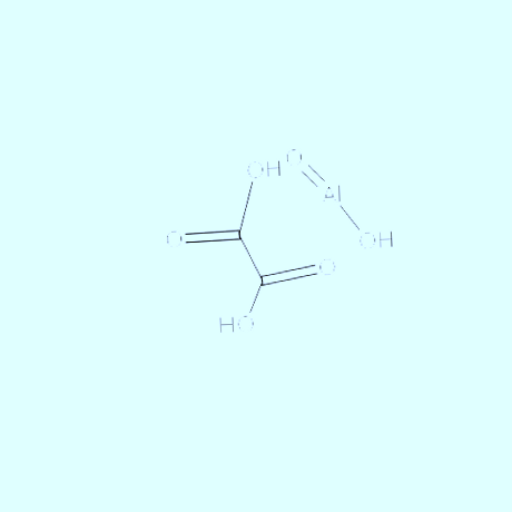 O=C(O)C(=O)O.[O]=[Al][OH]